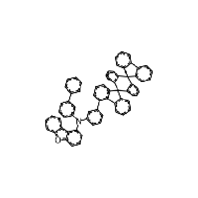 c1ccc(-c2cccc(N(c3cccc(-c4cccc5c4-c4ccccc4C54c5ccccc5C5(c6ccccc6-c6ccccc65)c5ccccc54)c3)c3cccc4oc5ccccc5c34)c2)cc1